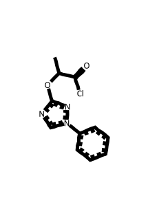 CC(Oc1ncn(-c2ccccc2)n1)C(=O)Cl